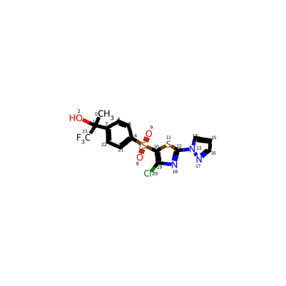 CC(O)(c1ccc(S(=O)(=O)c2sc(-n3cccn3)nc2Cl)cc1)C(F)(F)F